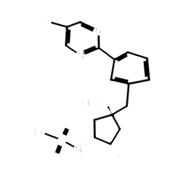 CCS(=O)(=O)N[C@@H]1C[C@@](Cc2cccc(-c3ncc(F)cn3)c2)(C(=O)O)C[C@@H]1F